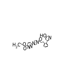 C=CCOC(=O)c1ccc(N2CCN(C(=O)CCc3ccccc3-c3cncc(O)c3)CC2)nn1